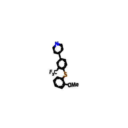 COc1ccccc1Sc1ccc(-c2ccncc2)cc1C(F)(F)F